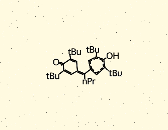 CCCC(=C1C=C(C(C)(C)C)C(=O)C(C(C)(C)C)=C1)c1cc(C(C)(C)C)c(O)c(C(C)(C)C)c1